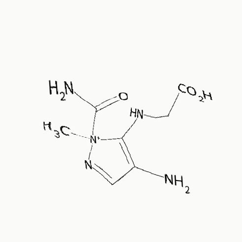 C[N+]1(C(N)=O)N=CC(N)=C1NCC(=O)O